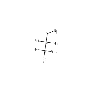 [2H]C([2H])(CC)C([2H])([2H])CBr